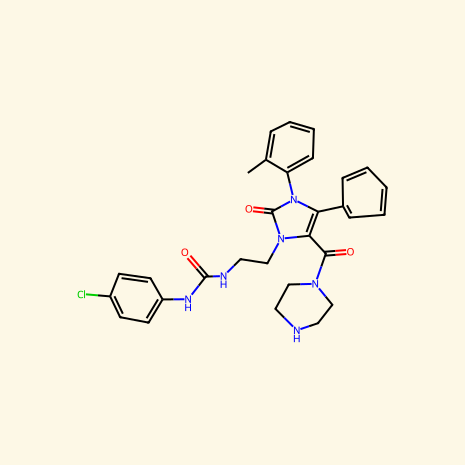 Cc1ccccc1-n1c(-c2ccccc2)c(C(=O)N2CCNCC2)n(CCNC(=O)Nc2ccc(Cl)cc2)c1=O